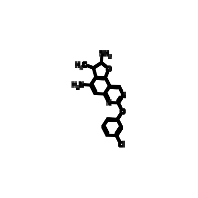 CC1c2c(N)cc3nc(Oc4cccc(Cl)c4)ncc3c2OC1N